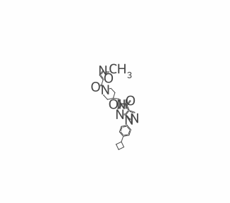 Cc1ncc(C(=O)N2CCC(O)(Cn3cnc4c(cnn4-c4ccc(C5CCC5)cc4)c3=O)CC2)o1